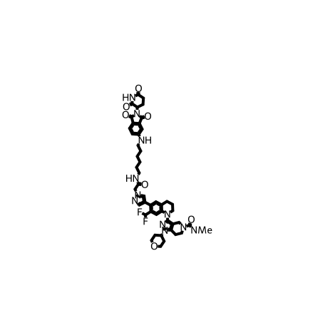 CNC(=O)N1CCc2c(c(N3CCCc4cc(-c5cnn(CC(=O)NCCCCCCNc6ccc7c(c6)C(=O)N(C6CCC(=O)NC6=O)C7=O)c5)c(C(F)F)cc43)nn2C2CCOCC2)C1